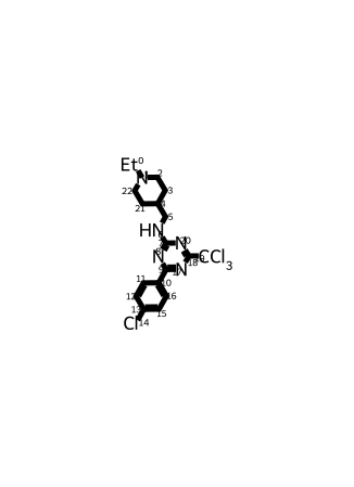 CCN1CCC(CNc2nc(-c3ccc(Cl)cc3)nc(C(Cl)(Cl)Cl)n2)CC1